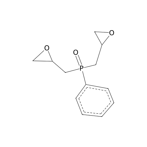 O=P(CC1CO1)(CC1CO1)c1ccccc1